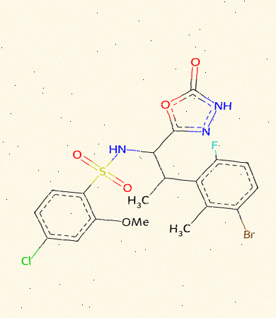 COc1cc(Cl)ccc1S(=O)(=O)NC(c1n[nH]c(=O)o1)C(C)c1c(F)ccc(Br)c1C